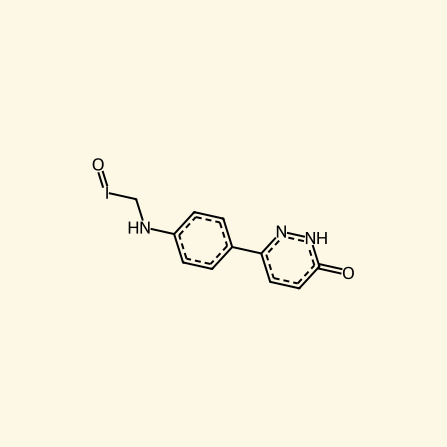 O=ICNc1ccc(-c2ccc(=O)[nH]n2)cc1